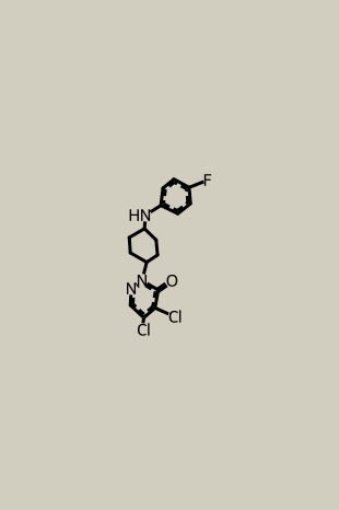 O=c1c(Cl)c(Cl)cnn1C1CCC(Nc2ccc(F)cc2)CC1